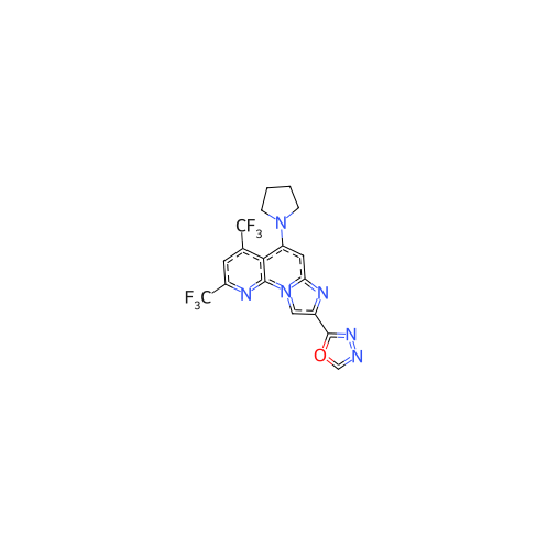 FC(F)(F)c1cc(C(F)(F)F)c2c(N3CCCC3)cc3nc(-c4nnco4)cn3c2n1